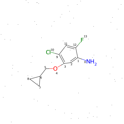 Nc1cc(OCC2CC2)c(Cl)cc1F